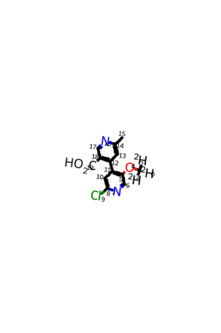 [2H]C([2H])([2H])Oc1cnc(Cl)cc1-c1cc(C)ncc1C(=O)O